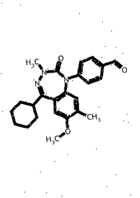 COc1cc2c(cc1C)N(c1ccc(C=O)cc1)C(=O)N(C)N=C2C1CCCCC1